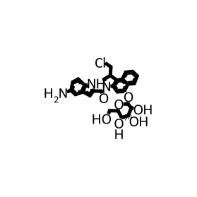 Nc1ccc2[nH]c(C(=O)N3CC(CCl)c4c3cc(OC3OC(CO)C(O)[C@@H](O)C3O)c3ccccc43)cc2c1